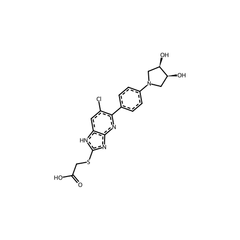 O=C(O)CSc1nc2nc(-c3ccc(N4C[C@@H](O)[C@@H](O)C4)cc3)c(Cl)cc2[nH]1